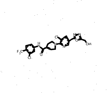 O=C(Nc1ccc(C(F)(F)F)c(Cl)c1)C1=CCN(c2ncc(-c3nnc(CO)o3)cc2Cl)CC1